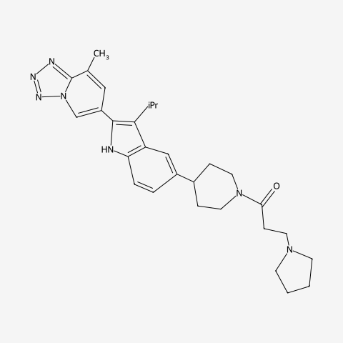 Cc1cc(-c2[nH]c3ccc(C4CCN(C(=O)CCN5CCCC5)CC4)cc3c2C(C)C)cn2nnnc12